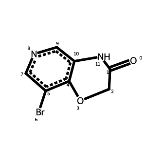 O=C1COc2c(Br)cncc2N1